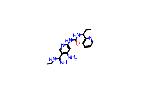 CCNC(=N)c1cnc(NC(=O)NC(CC)c2ccccn2)cc1N